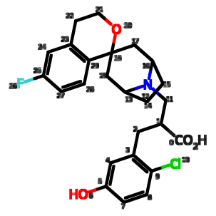 O=C(O)C(Cc1cc(O)ccc1Cl)CN1C2CCC1CC1(C2)OCCc2cc(F)ccc21